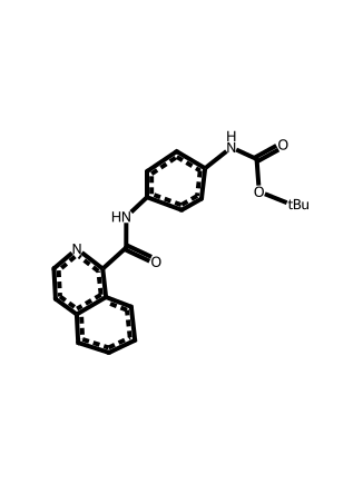 CC(C)(C)OC(=O)Nc1ccc(NC(=O)c2nccc3ccccc23)cc1